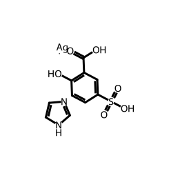 O=C(O)c1cc(S(=O)(=O)O)ccc1O.[Ag].c1c[nH]cn1